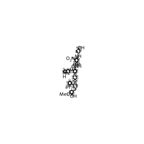 COc1ccc(CN2CCN(C3CC4(CCN(c5ccc(C(=O)NS(=O)(=O)c6ccc(NC[C@H]7CC[C@](C)(O)CC7)c([N+](=O)[O-])c6)c(Oc6cnc7[nH]ccc7c6)c5)CC4)C3)C(c3ccccc3C(C)C)C2)cc1O